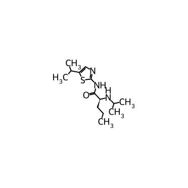 CCC[C@H](NC(C)C)C(=O)Nc1ncc(C(C)C)s1